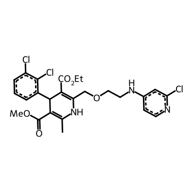 CCOC(=O)C1=C(COCCNc2ccnc(Cl)c2)NC(C)=C(C(=O)OC)C1c1cccc(Cl)c1Cl